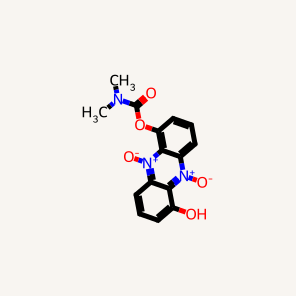 CN(C)C(=O)Oc1cccc2c1[n+]([O-])c1cccc(O)c1[n+]2[O-]